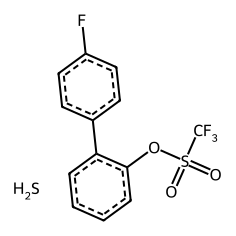 O=S(=O)(Oc1ccccc1-c1ccc(F)cc1)C(F)(F)F.S